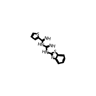 N=C(NC(=N)c1cccs1)Nc1nc2ccccc2s1